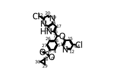 O=S(=O)(c1ccc(C(Oc2cncc(Cl)c2)c2cc3ncc(Cl)nc3[nH]2)cc1)C1CC1